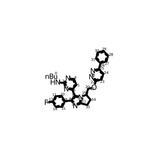 CCCCNc1nccc(-c2c(-c3ccc(F)cc3)nc3n2C(COc2ccc(-c4ccccc4)nn2)CC3)n1